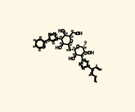 C=C/N=C(\C=C)c1cn(C2C(O)[C@@H](C)O[C@@H](S[C@@H]3OC(CO)[C@H](O)C(n4cc(-c5ccccn5)nn4)C3O)[C@@H]2O)nn1